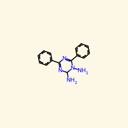 NC1N=C(c2ccccc2)N=C(c2ccccc2)N1N